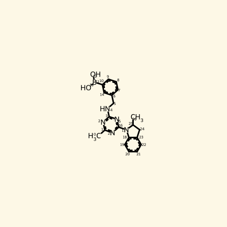 Cc1nc(NCc2cccc(B(O)O)c2)nc(N2c3ccccc3CC2C)n1